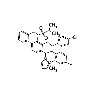 COc1cc(F)ccc1C1C(c2ccc(Cl)cc2)Cc2c(ccc3c2C(S(=O)(=O)C(C)C)Cc2ccccc2-3)C1n1cccc1